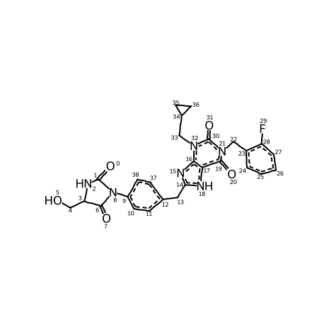 O=C1NC(CO)C(=O)N1c1ccc(Cc2nc3c([nH]2)c(=O)n(Cc2ccccc2F)c(=O)n3CC2CC2)cc1